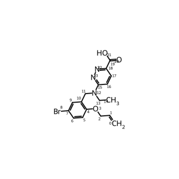 C=CCOc1ccc(Br)cc1CN(CC)c1ccc(C(=O)O)nn1